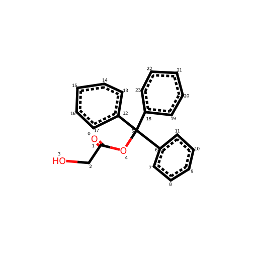 O=C(CO)OC(c1ccccc1)(c1ccccc1)c1ccccc1